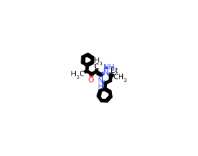 CCC1(C)CC(C2=CC=CCC=C2)N/C(=C(/C)C(=O)C(C)c2ccccc2)N1N